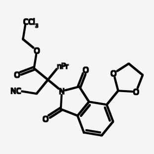 CCCC(CC#N)(C(=O)OCC(Cl)(Cl)Cl)N1C(=O)c2cccc(C3OCCO3)c2C1=O